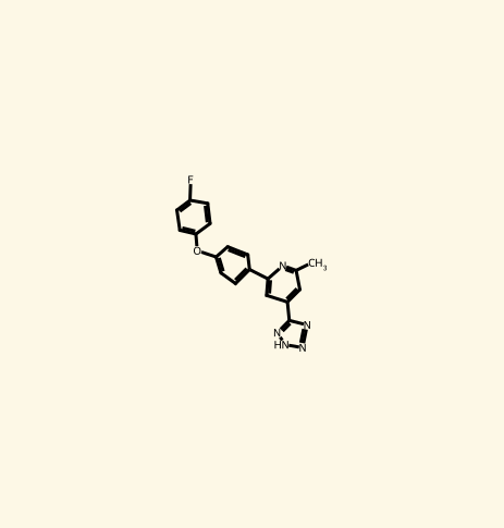 Cc1cc(-c2nn[nH]n2)cc(-c2ccc(Oc3ccc(F)cc3)cc2)n1